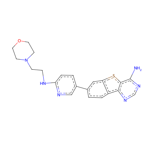 Nc1ncnc2c1sc1cc(-c3ccc(NCCN4CCOCC4)nc3)ccc12